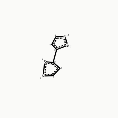 c1cc(-c2ccns2)sn1